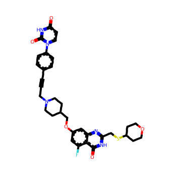 O=c1ccn(-c2ccc(C#CCN3CCC(COc4cc(F)c5c(=O)[nH]c(CSC6CCOCC6)nc5c4)CC3)cc2)c(=O)[nH]1